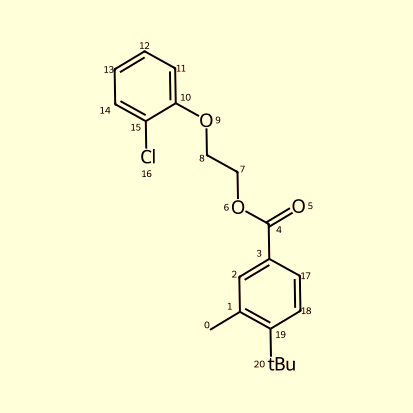 Cc1cc(C(=O)OCCOc2ccccc2Cl)ccc1C(C)(C)C